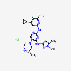 Cc1nc(Nc2ncc(N3CCN[C@H](C)C3)c(Nc3cc(C)n(C)n3)n2)cc(C2CC2)c1F.Cl